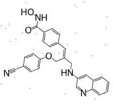 N#Cc1ccc(OCC(=Cc2ccc(C(=O)NO)cc2)CNc2cnc3ccccc3c2)cc1